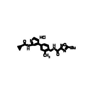 Cc1cc(-c2ccnc(NC(=O)C3CC3)c2)ccc1CNC(=O)c1noc(C(C)(C)C)n1.Cl